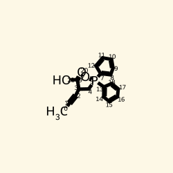 CC#CC(CP(=O)(c1ccccc1)c1ccccc1)C(=O)O